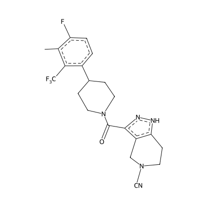 Cc1c(F)ccc(C2CCN(C(=O)c3n[nH]c4c3CN(C#N)CC4)CC2)c1C(F)(F)F